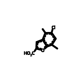 Cc1c(Cl)cc(C)c2oc(C(=O)O)cc12